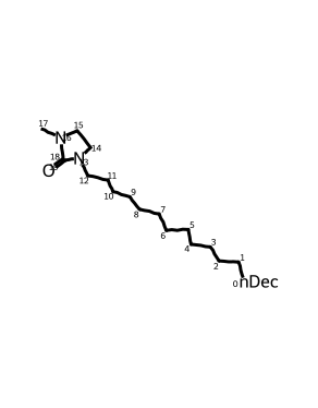 CCCCCCCCCCCCCCCCCCCCCCN1CCN(C)C1=O